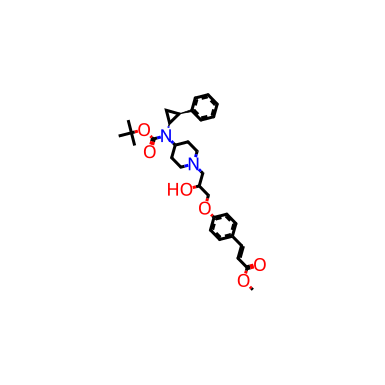 COC(=O)/C=C/c1ccc(OCC(O)CN2CCC(N(C(=O)OC(C)(C)C)[C@@H]3C[C@H]3c3ccccc3)CC2)cc1